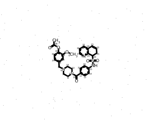 COc1cc(CN2CCN(C(=O)c3ccc(NS(=O)(=O)C4CC=Cc5cccnc54)cc3)CC2)ccc1OC(C)=O